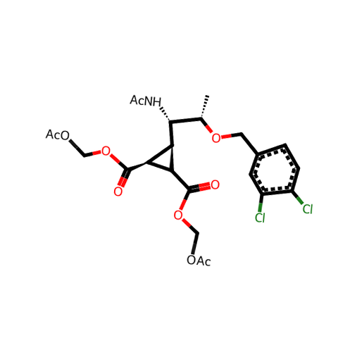 CC(=O)N[C@@H]([C@H]1C(C(=O)OCOC(C)=O)[C@H]1C(=O)OCOC(C)=O)[C@H](C)OCc1ccc(Cl)c(Cl)c1